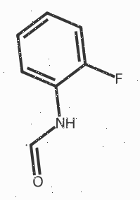 O=[C]Nc1ccccc1F